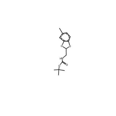 Cc1ccc2c(c1)OC(CNC(=O)OC(C)(C)C)O2